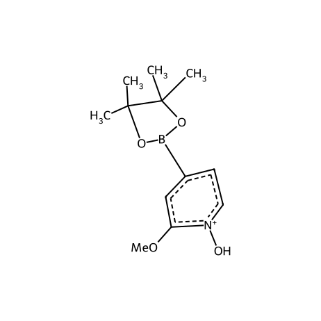 COc1cc(B2OC(C)(C)C(C)(C)O2)cc[n+]1O